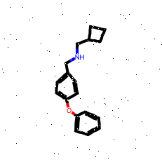 c1ccc(Oc2ccc(CNCC3CCC3)cc2)cc1